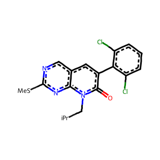 CSc1ncc2cc(-c3c(Cl)cccc3Cl)c(=O)n(CC(C)C)c2n1